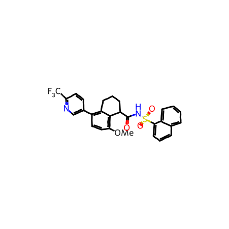 COc1ccc(-c2ccc(C(F)(F)F)nc2)c2c1C(C(=O)NS(=O)(=O)c1cccc3ccccc13)CCC2